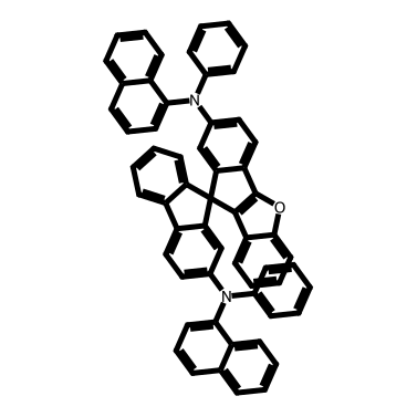 c1ccc(N(c2ccc3c(c2)C2(c4ccccc4-3)c3cc(N(c4ccccc4)c4cccc5ccccc45)ccc3-c3oc4ccccc4c32)c2cccc3ccccc23)cc1